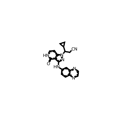 N#CCC(C1CC1)n1nc(Nc2ccc3nccnc3c2)c2c(=O)[nH]ccc21